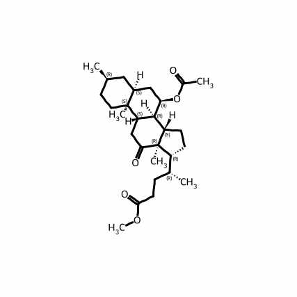 COC(=O)CC[C@@H](C)[C@H]1CC[C@H]2[C@@H]3[C@H](OC(C)=O)C[C@@H]4C[C@H](C)CC[C@]4(C)[C@H]3CC(=O)[C@]12C